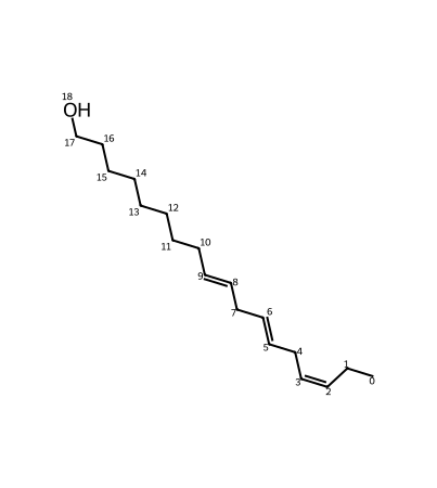 CC/C=C\C/C=C/C/C=C/CCCCCCCCO